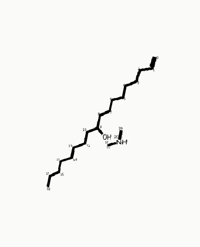 C=CCCCCCCCC(O)CCCCCCCC.CNC